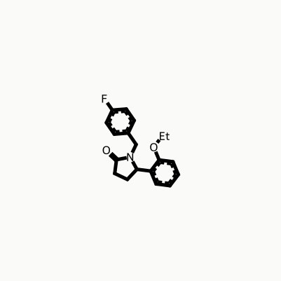 CCOc1ccccc1C1CCC(=O)N1Cc1ccc(F)cc1